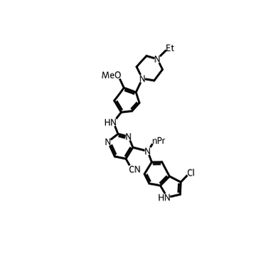 CCCN(c1ccc2[nH]cc(Cl)c2c1)c1nc(Nc2ccc(N3CCN(CC)CC3)c(OC)c2)ncc1C#N